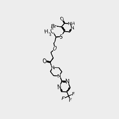 CC(COCCC(=O)N1CCN(c2ncc(C(F)(F)F)cn2)CC1)Sc1cn[nH]c(=O)c1Br